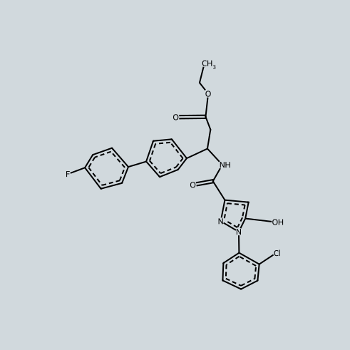 CCOC(=O)CC(NC(=O)c1cc(O)n(-c2ccccc2Cl)n1)c1ccc(-c2ccc(F)cc2)cc1